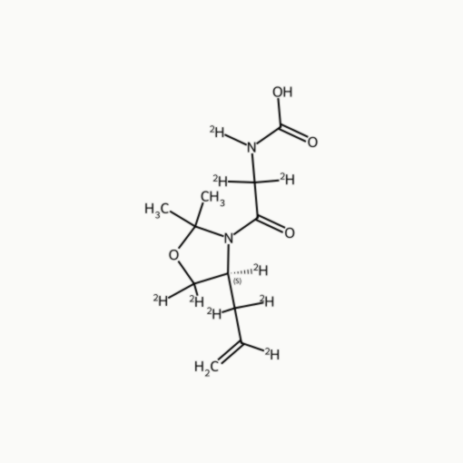 [2H]C(=C)C([2H])([2H])[C@]1([2H])N(C(=O)C([2H])([2H])N([2H])C(=O)O)C(C)(C)OC1([2H])[2H]